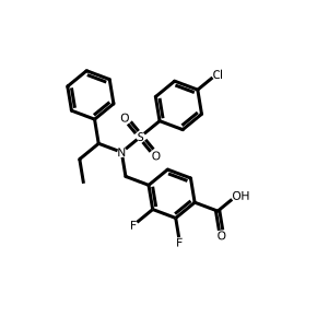 CCC(c1ccccc1)N(Cc1ccc(C(=O)O)c(F)c1F)S(=O)(=O)c1ccc(Cl)cc1